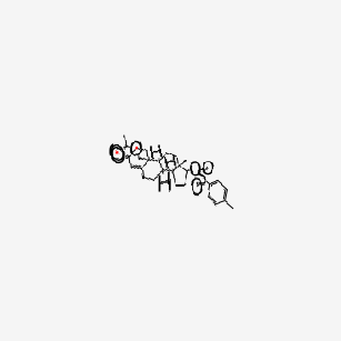 CC(=O)OC[C@]12CCC(=O)C=C1CC[C@@H]1[C@@H]2CC[C@]2(C)[C@@H](OS(=O)(=O)c3ccc(C)cc3)CC[C@@H]12